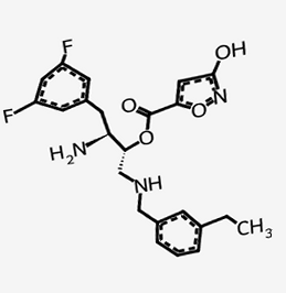 CCc1cccc(CNC[C@@H](OC(=O)c2cc(O)no2)[C@@H](N)Cc2cc(F)cc(F)c2)c1